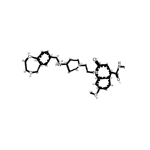 CNC(=O)c1cc(=O)n(CCN2CCC(NCc3ccc4c(c3)COCCO4)CC2)c2cc(OC)ccc12